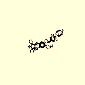 CN1CCN(c2ncc(COc3cc(/C=C4\SC(=O)N(C)C4=O)c(Br)cc3O)cn2)CC1